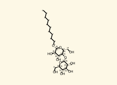 CCCCCCCCCCO[C@@H]1O[C@H](CO)[C@@H](O[C@H]2O[C@H](CO)[C@@H](O)[C@H](O)[C@H]2O)[C@H](O)[C@H]1O